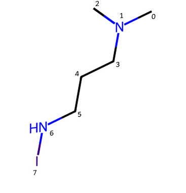 CN(C)CCCNI